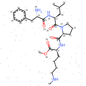 CNCCCC[C@H](NC(=O)[C@@H]1CCCN1C(=O)[C@H](CC(C)C)NC(=O)[C@@H](N)Cc1ccccc1)C(=O)OC